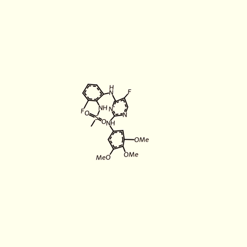 COc1cc(Nc2ncc(F)c(Nc3cccc(F)c3NS(C)(=O)=O)n2)cc(OC)c1OC